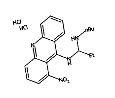 CCCCNC(CC)Nc1c2ccccc2nc2cccc([N+](=O)[O-])c12.Cl.Cl